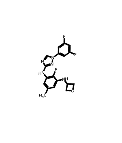 Cc1cc(Nc2ncn(-c3cc(F)cc(F)c3)n2)c(F)c(NC2COC2)c1